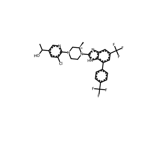 CC(O)c1cnc(N2CCN(c3nc4cc(C(F)(F)F)cc(-c5ccc(C(F)(F)F)cc5)c4[nH]3)[C@H](C)C2)c(Cl)c1